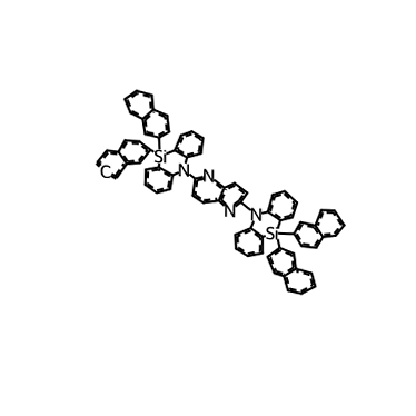 c1ccc2c(c1)N(c1ccc3nc(N4c5ccccc5[Si](c5ccc6ccccc6c5)(c5ccc6ccccc6c5)c5ccccc54)ccc3n1)c1ccccc1[Si]2(c1ccc2ccccc2c1)c1ccc2ccccc2c1